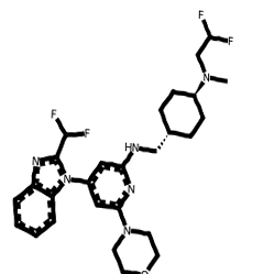 CN(CC(F)F)[C@H]1CC[C@H](CNc2cc(-n3c(C(F)F)nc4ccccc43)cc(N3CCOCC3)n2)CC1